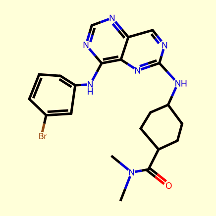 CN(C)C(=O)C1CCC(Nc2ncc3ncnc(Nc4cccc(Br)c4)c3n2)CC1